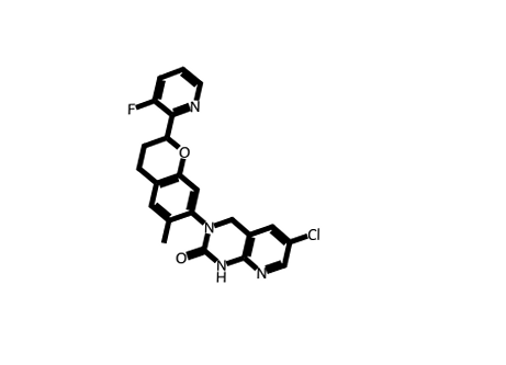 Cc1cc2c(cc1N1Cc3cc(Cl)cnc3NC1=O)OC(c1ncccc1F)CC2